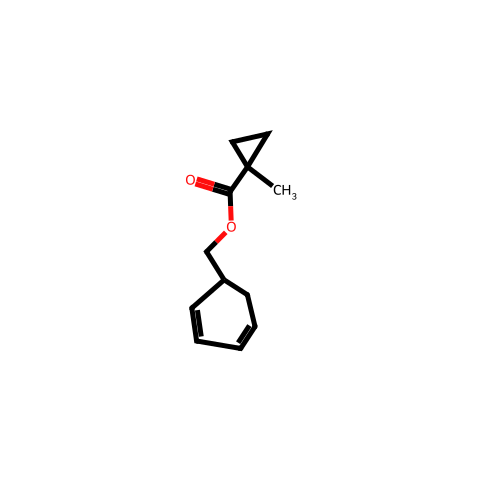 CC1(C(=O)OCC2C=CC=CC2)CC1